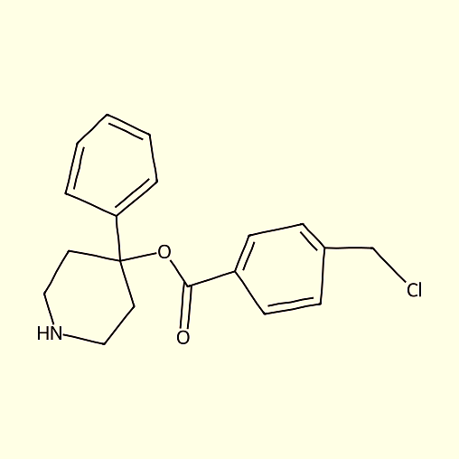 O=C(OC1(c2ccccc2)CCNCC1)c1ccc(CCl)cc1